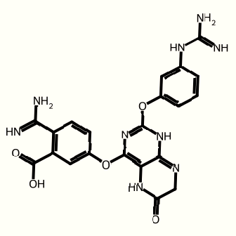 N=C(N)Nc1cccc(OC2=NC(Oc3ccc(C(=N)N)c(C(=O)O)c3)=C3NC(=O)CN=C3N2)c1